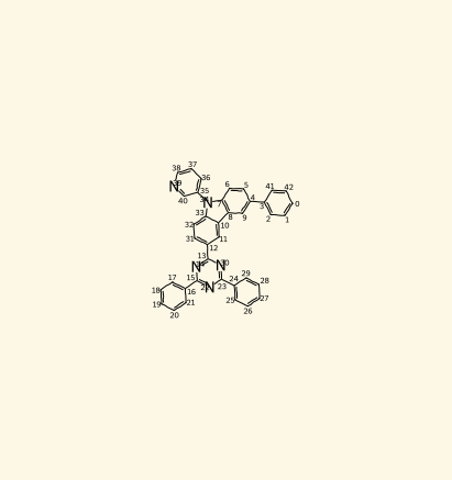 c1ccc(-c2ccc3c(c2)c2cc(-c4nc(-c5ccccc5)nc(-c5ccccc5)n4)ccc2n3-c2cccnc2)cc1